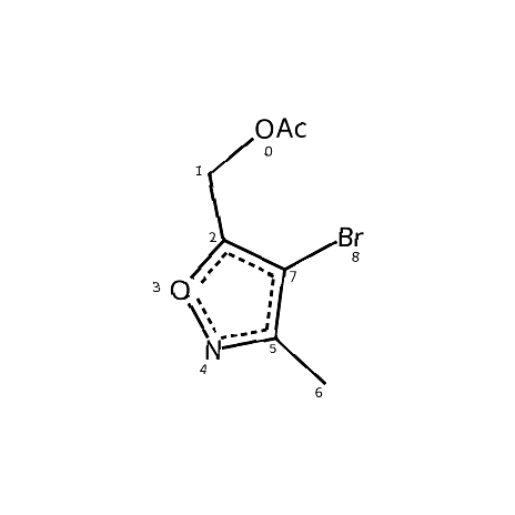 CC(=O)OCc1onc(C)c1Br